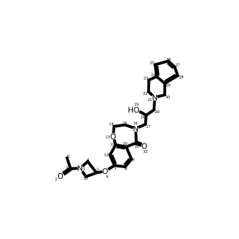 CC(=O)N1CC(Oc2ccc3c(c2)OCCN(CC(O)CN2CCc4ccccc4C2)C3=O)C1